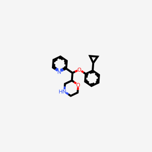 c1ccc(C(Oc2ccccc2C2CC2)C2CNCCO2)nc1